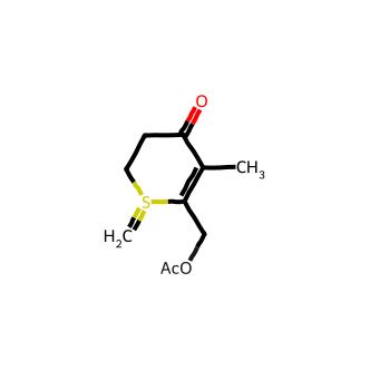 C=S1CCC(=O)C(C)=C1COC(C)=O